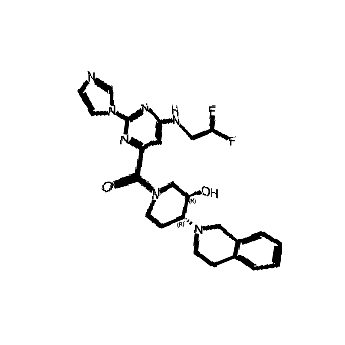 O=C(c1cc(NCC(F)F)nc(-n2ccnc2)n1)N1CC[C@@H](N2CCc3ccccc3C2)[C@H](O)C1